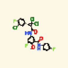 COc1c(F)cc(NC(=O)[C@H]2[C@H](c3ccc(F)c(Cl)c3)C2(Cl)Cl)cc1C(=O)Nc1ccc(F)cc1